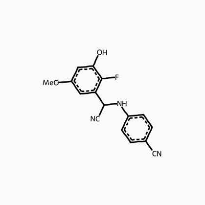 COc1cc(O)c(F)c(C(C#N)Nc2ccc(C#N)cc2)c1